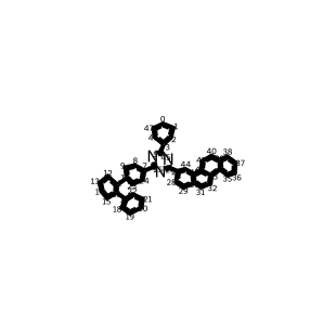 c1ccc(-c2nc(-c3ccc(-c4ccccc4-c4ccccc4)cc3)nc(-c3ccc4ccc5c6ccccc6ccc5c4c3)n2)cc1